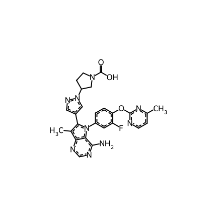 Cc1ccnc(Oc2ccc(-n3c(-c4cnn(C5CCN(C(=O)O)C5)c4)c(C)c4ncnc(N)c43)cc2F)n1